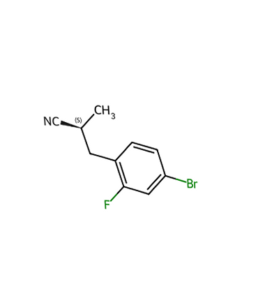 C[C@H](C#N)Cc1ccc(Br)cc1F